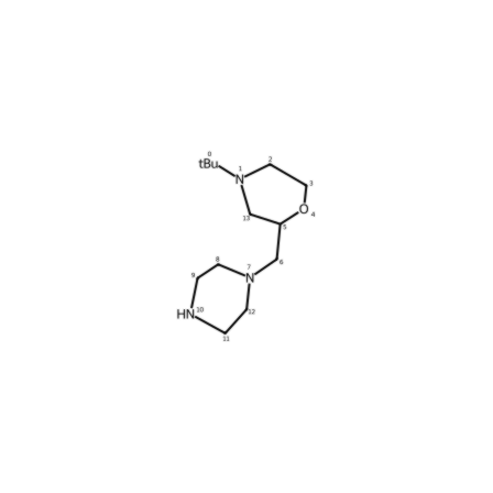 CC(C)(C)N1CCOC(CN2CCNCC2)C1